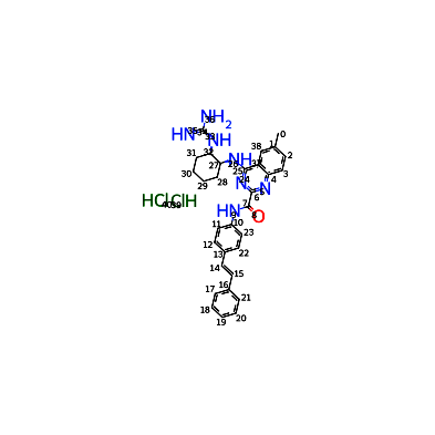 Cc1ccc2nc(C(=O)Nc3ccc(/C=C/c4ccccc4)cc3)nc(N[C@H]3CCCC[C@H]3NC(=N)N)c2c1.Cl.Cl